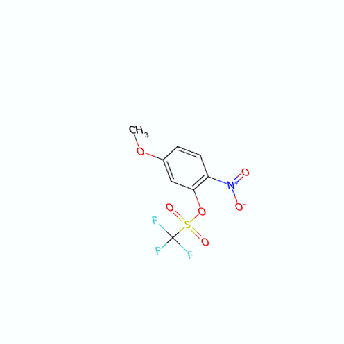 COc1ccc([N+](=O)[O-])c(OS(=O)(=O)C(F)(F)F)c1